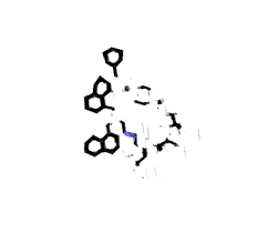 CC(C)[C@H](NC(=O)[C@H](C)NC(=O)N1CCN(C(=O)OCc2ccccc2)CC1)C(=O)NN(CC(N)=O)C(=O)/C=C/C(=O)N(Cc1cccc2ccccc12)Cc1cccc2ccccc12